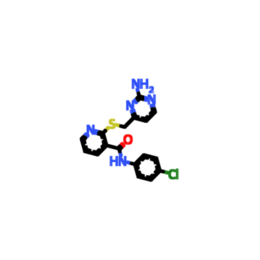 Nc1nccc(CSc2ncccc2C(=O)Nc2ccc(Cl)cc2)n1